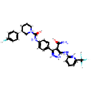 NC(=O)c1c(-c2ccc(NC(=O)N3CCC[C@@H](c4ccc(F)cc4)C3)cc2)n[nH]c1Nc1cccc(C(F)(F)F)n1